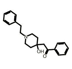 O=C(CC1(O)CCN(CCc2ccccc2)CC1)c1ccccc1